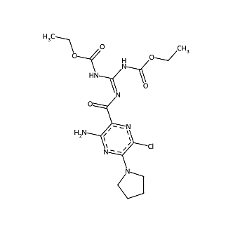 CCOC(=O)NC(=NC(=O)c1nc(Cl)c(N2CCCC2)nc1N)NC(=O)OCC